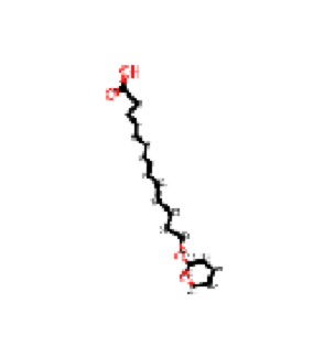 O=C(O)CCCCCCCCCCCCCOC1CCCCO1